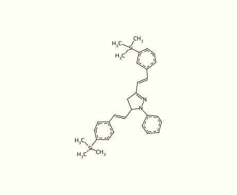 C[Si](C)(C)c1ccc(C=CC2CC(C=Cc3cccc([Si](C)(C)C)c3)=NN2c2ccccc2)cc1